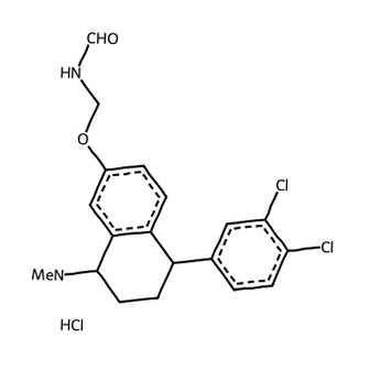 CNC1CCC(c2ccc(Cl)c(Cl)c2)c2ccc(OCNC=O)cc21.Cl